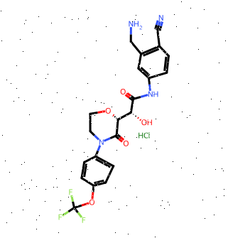 Cl.N#Cc1ccc(NC(=O)[C@H](O)[C@H]2OCCN(c3ccc(OC(F)(F)F)cc3)C2=O)cc1CN